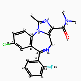 Cc1nc(C(=O)N(C)C)c2n1-c1ccc(Cl)cc1C(c1ccccc1F)=NC2